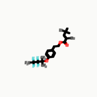 CCC(C)C(CC(C)(C)CC)C(=O)OCCc1ccc(OC(C(F)(F)F)(C(F)(F)F)C(F)(F)C(F)(F)C(F)(F)F)cc1